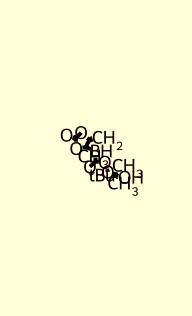 C=C1OC(=O)OC1(C)BC(OOC(C)(C)O)OC(C)(C)C